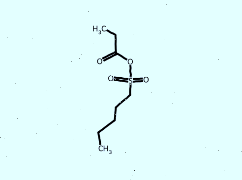 CCCCCS(=O)(=O)OC(=O)CC